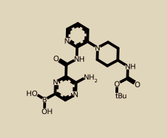 CC(C)(C)OC(=O)NC1CCN(c2cccnc2NC(=O)c2nc(B(O)O)cnc2N)CC1